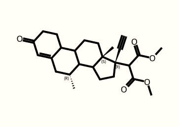 C#C[C@@]1(C(C(=O)OC)C(=O)OC)CCC2C3C(CC[C@@]21C)C1CCC(=O)C=C1C[C@H]3C